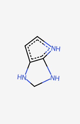 c1cc2c([nH]1)NCN2